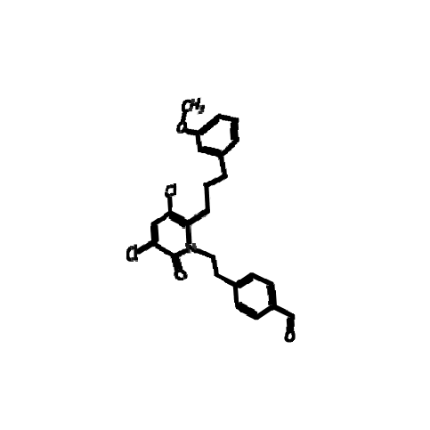 COc1cccc(CCCc2c(Cl)cc(Cl)c(=O)n2CCc2ccc(C=O)cc2)c1